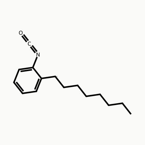 CCCCCCC[CH]c1ccccc1N=C=O